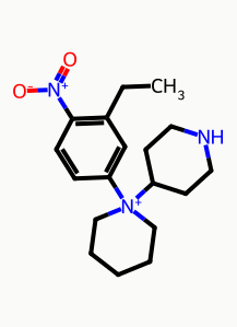 CCc1cc([N+]2(C3CCNCC3)CCCCC2)ccc1[N+](=O)[O-]